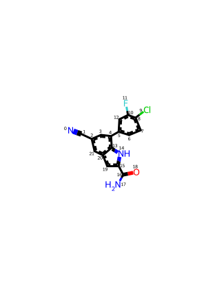 N#Cc1cc(-c2ccc(Cl)c(F)c2)c2[nH]c(C(N)=O)cc2c1